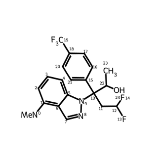 CNc1cccc2c1cnn2C(CC(F)F)(c1ccc(C(F)(F)F)cc1)C(C)O